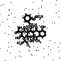 C=C1c2cccc(O)c2C(=O)C2=C(O)[C@]3(O)C(=O)C(C(N)=O)=C(O)[C@@H](N(C)C)[C@H]3[C@@H](O)[C@H]12.O=C(O)c1ccccc1OS(=O)(=O)O